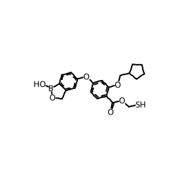 O=C(OCS)c1ccc(Oc2ccc3c(c2)COB3O)cc1OCC1CCCC1